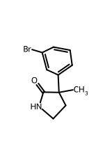 CC1(c2cccc(Br)c2)CCNC1=O